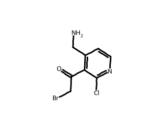 NCc1ccnc(Cl)c1C(=O)CBr